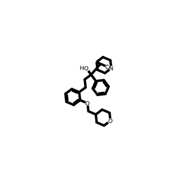 OC(CCc1ccccc1OCC1CCOCC1)(c1ccccc1)C1CN2CCC1CC2